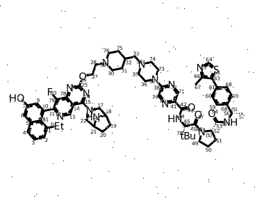 CCc1cccc2cc(O)cc(-c3ncc4c(N5CC6CCC(C5)N6)nc(OCCN5CCC(CN6CCN(c7cnc(C(=O)N[C@H](C(=O)N8CCC[C@H]8C(=O)N[C@@H](C)c8ccc(-c9scnc9C)cc8)C(C)(C)C)cn7)CC6)CC5)nc4c3F)c12